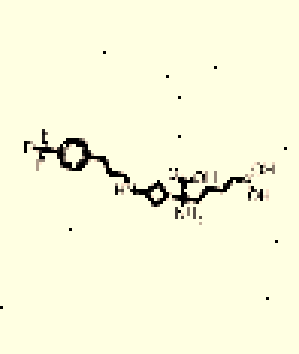 N[C@](CCCCB(O)O)(C(=O)O)C1CC(NCCCc2ccc(C(F)(F)F)cc2)C1